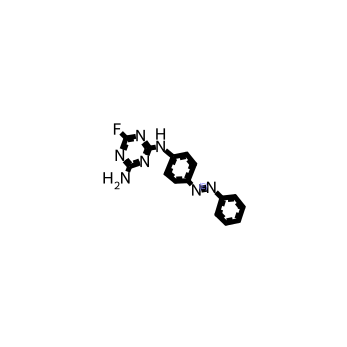 Nc1nc(F)nc(Nc2ccc(/N=N/c3ccccc3)cc2)n1